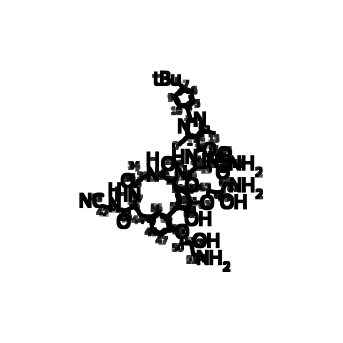 Cc1nc(-c2ccc(C(C)(C)C)cc2)nc(C)c1C(=O)N[C@@H](CNS(N)(=O)=O)C(=O)N(C)[C@@H]1C(=O)N[C@@H](C)C(=O)N[C@H](C(=O)NCC#N)Cc2ccc(OC[C@H](O)CN)c(c2)-c2cc1cc(OC[C@H](O)CN)c2O